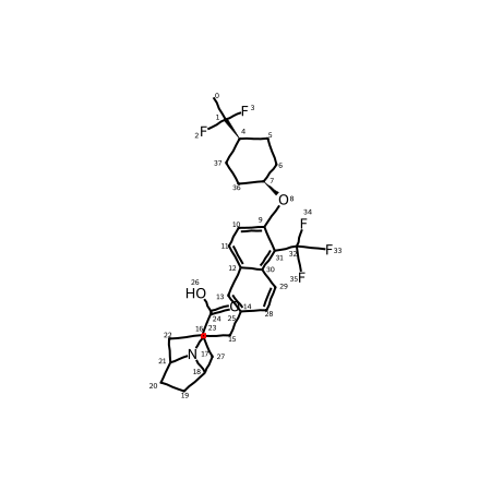 CC(F)(F)[C@H]1CC[C@@H](Oc2ccc3cc(CCN4C5CCC4CC(C(=O)O)C5)ccc3c2C(F)(F)F)CC1